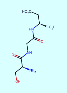 N[C@@H](CO)C(=O)NCC(=O)N[C@@H](CC(=O)O)C(=O)O